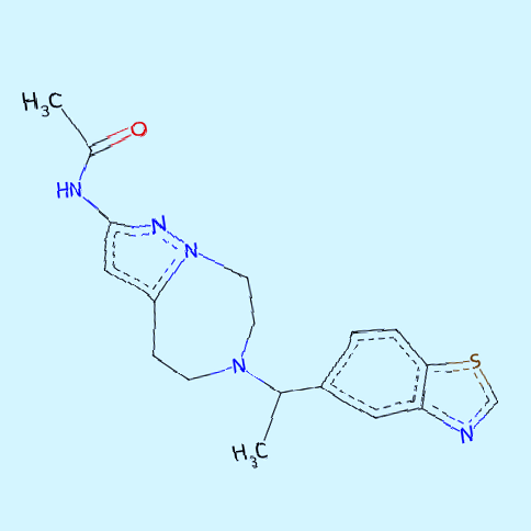 CC(=O)Nc1cc2n(n1)CCN(C(C)c1ccc3scnc3c1)CC2